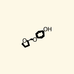 Oc1ccc(OC[C@H]2CCCO2)cc1